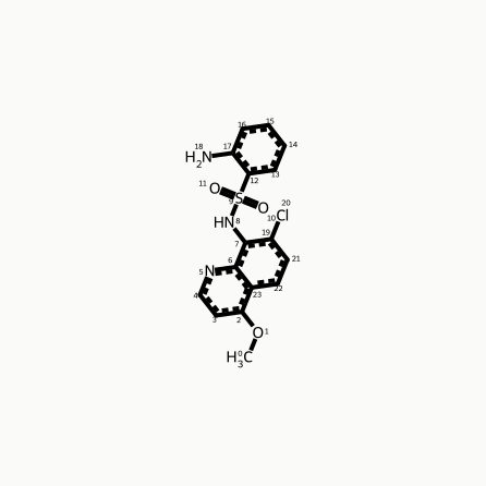 COc1ccnc2c(NS(=O)(=O)c3ccccc3N)c(Cl)ccc12